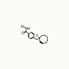 CCNC(=O)c1ccc(CC2(F)C#CCCCCC2)cc1